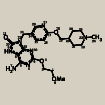 COCCOc1nc(N)c2[nH]c(=O)n(Cc3ccc(OCC4CCN(C)CC4)nc3)c2n1